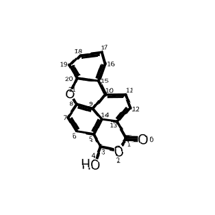 O=C1OC(O)c2ccc3c4c(ccc1c24)-c1ccccc1O3